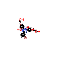 OCCOc1ccc(-c2nc(-c3cccc(Br)c3)nc(-c3ccc(OCCO)cc3O)n2)c(O)c1